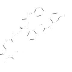 CC(C(=O)OC(C)(C)C)c1cccc(NC(=O)NCC(=O)N(CC(=O)N(C)c2ccccc2)c2ccccc2OCC(=O)N(C)c2cccc(Br)c2)c1